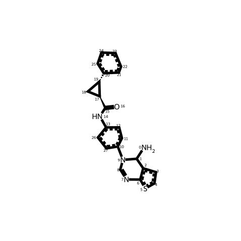 NC1c2ccsc2N=CN1c1ccc(NC(=O)[C@H]2C[C@@H]2c2ccccc2)cc1